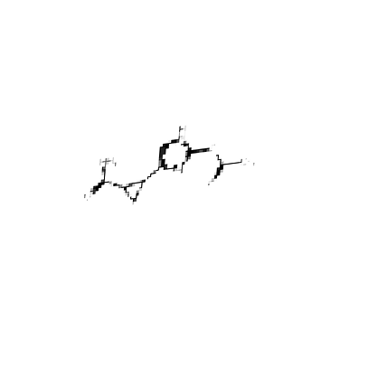 NC(=O)C1CC1c1c[nH]c(OC(=O)C(F)(F)F)n1